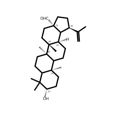 C=C(C)[C@@H]1CC[C@]2(C=O)CC[C@]3(C)[C@H](CCC4[C@@]5(C)CC[C@H](O)C(C)(C)C5CC[C@]43C)C12